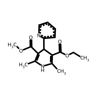 CCOC(=O)C1=C(C)NC(C)=C(C(=O)OC)C1c1ccccn1